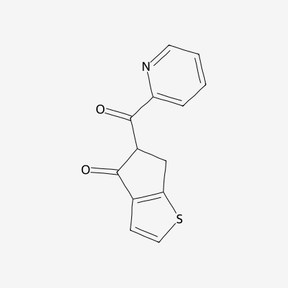 O=C(c1ccccn1)C1Cc2sccc2C1=O